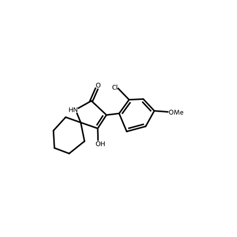 COc1ccc(C2=C(O)C3(CCCCC3)NC2=O)c(Cl)c1